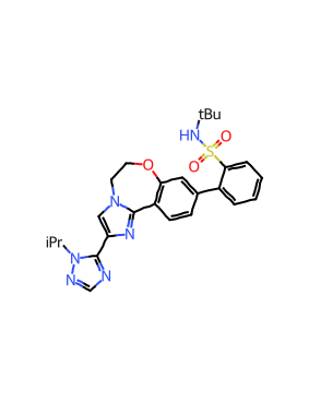 CC(C)n1ncnc1-c1cn2c(n1)-c1ccc(-c3ccccc3S(=O)(=O)NC(C)(C)C)cc1OCC2